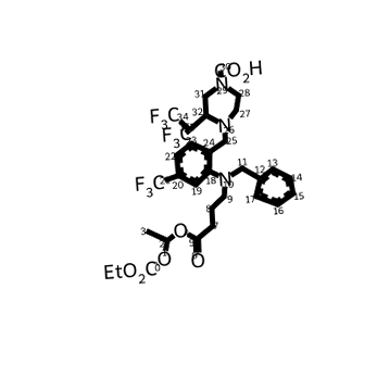 CCOC(=O)OC(C)OC(=O)CCCN(Cc1ccccc1)c1cc(C(F)(F)F)ccc1CN1CCN(C(=O)O)CC1C(C(F)(F)F)C(F)(F)F